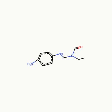 CCN(C=O)CNc1ccc(N)cc1